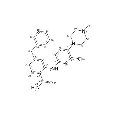 CN1CCN(c2ccc(Nc3cc(Cc4ccccc4)cnc3C(N)=O)cc2Cl)CC1